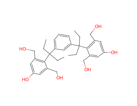 CCC(CC)(c1cccc(C(CC)(CC)c2c(CO)cc(O)cc2CO)c1)c1c(CO)cc(O)cc1CO